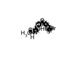 CB(O)Nc1cc(CN2CCC(C(=O)N3CCC(Cc4c(Br)csc4C=O)CC3)CC2)ccn1